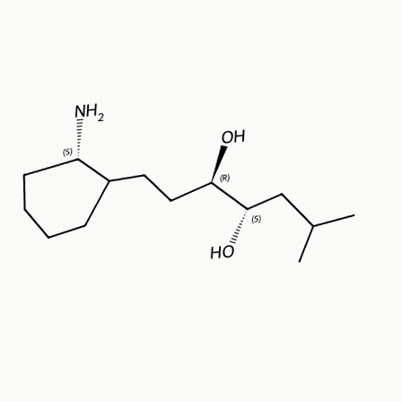 CC(C)C[C@H](O)[C@H](O)CCC1CCCC[C@@H]1N